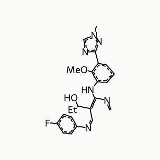 C=N/C(Nc1cccc(-c2ncn(C)n2)c1OC)=C(\C=N/c1ccc(F)cc1)C(O)CC